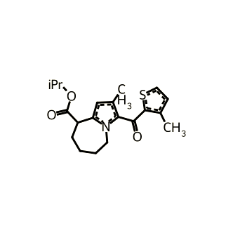 Cc1ccsc1C(=O)c1c(C)cc2n1CCCCC2C(=O)OC(C)C